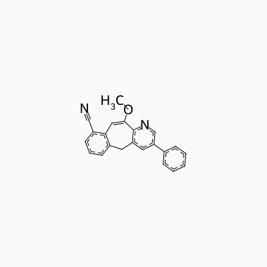 COC1=Cc2c(C#N)cccc2Cc2cc(-c3ccccc3)cnc21